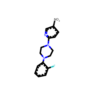 O=[N+]([O-])c1ccc(N2CCN(c3ccccc3F)CC2)nc1